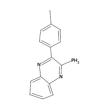 Cc1ccc(-c2nc3ccccc3nc2P)cc1